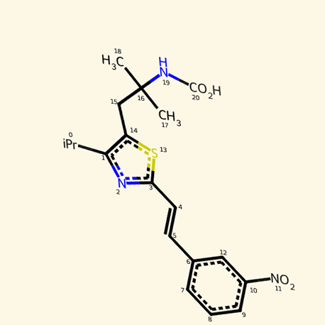 CC(C)c1nc(/C=C/c2cccc([N+](=O)[O-])c2)sc1CC(C)(C)NC(=O)O